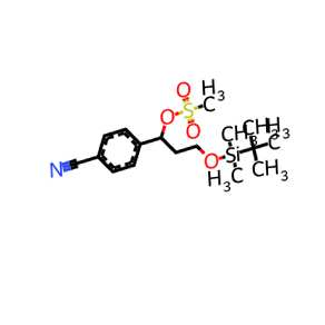 CC(C)(C)[Si](C)(C)OCCC(OS(C)(=O)=O)c1ccc(C#N)cc1